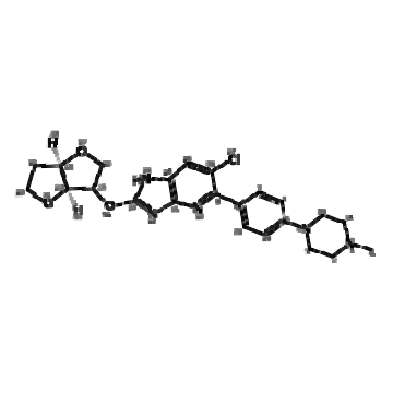 CN1CCN(c2ccc(-c3nc4nc(OC5CO[C@@H]6CCO[C@H]56)[nH]c4cc3Cl)cc2)CC1